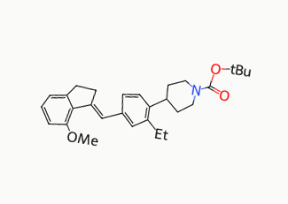 CCc1cc(C=C2CCc3cccc(OC)c32)ccc1C1CCN(C(=O)OC(C)(C)C)CC1